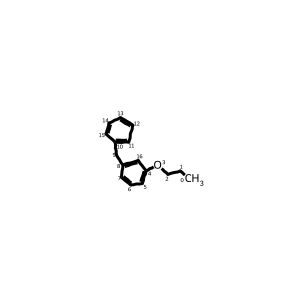 CCCOc1cccc([CH]c2ccccc2)c1